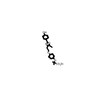 CCOC(=O)C(C)(C)Oc1ccc(OCCc2nc(-c3ccc(O)cc3)oc2C)cc1